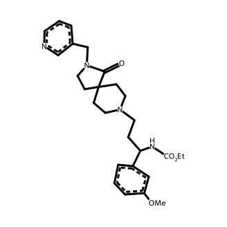 CCOC(=O)NC(CCN1CCC2(CC1)CCN(Cc1cccnc1)C2=O)c1cccc(OC)c1